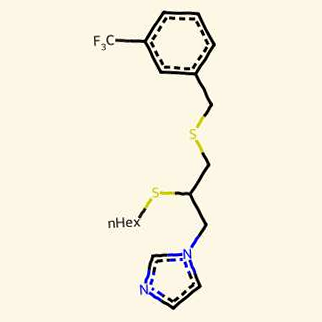 CCCCCCSC(CSCc1cccc(C(F)(F)F)c1)Cn1ccnc1